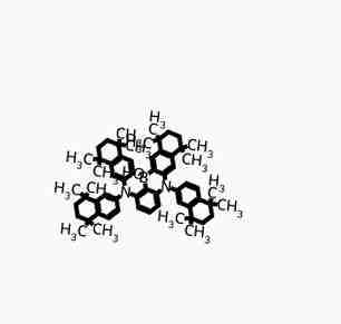 CC1(C)CCC(C)(C)c2cc(N(c3ccc4c(c3)C(C)(C)CCC4(C)C)c3cccc4c3B(O)c3cc5c(cc3N4c3ccc4c(c3)C(C)(C)CCC4(C)C)C(C)(C)CCC5(C)C)ccc21